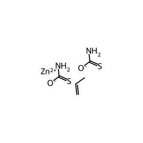 C=CC.NC([O-])=S.NC([O-])=S.[Zn+2]